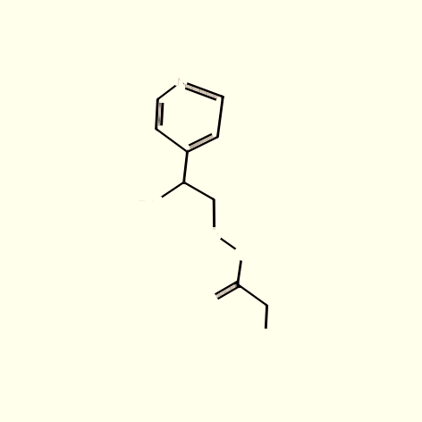 CCC(=O)OOCC(C)c1ccncc1